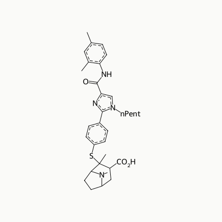 CCCCCn1cc(C(=O)Nc2ccc(C)cc2C)nc1-c1ccc(SC2(C)C(C(=O)O)CC3CCC2N3C)cc1